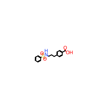 O=C(O)c1ccc(CCCNS(=O)(=O)c2ccccc2)cc1